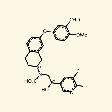 COc1ccc(Oc2ccc3c(c2)C[C@@H](N(C[C@H](O)c2cnc(Cl)c(Cl)c2)C(=O)O)CC3)cc1C=O